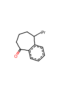 CC(C)C1CCCC(=O)c2ccccc21